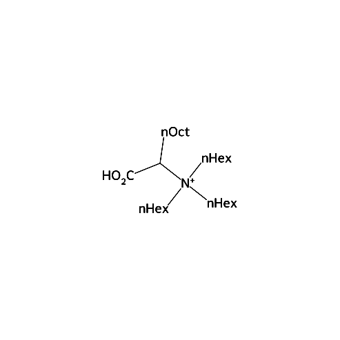 CCCCCCCCC(C(=O)O)[N+](CCCCCC)(CCCCCC)CCCCCC